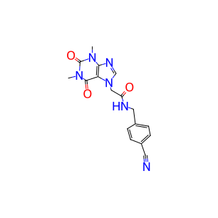 Cn1c(=O)c2c(ncn2CC(=O)NCc2ccc(C#N)cc2)n(C)c1=O